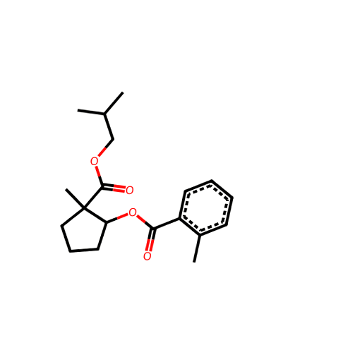 Cc1ccccc1C(=O)OC1CCCC1(C)C(=O)OCC(C)C